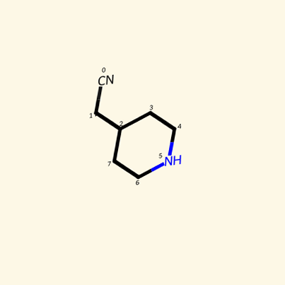 N#C[CH]C1CCNCC1